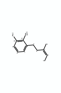 C/C=C(/C)CCc1cccc(F)c1CC